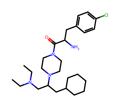 CCN(CC)CC(CC1CCCCC1)N1CCN(C(=O)C(N)Cc2ccc(Cl)cc2)CC1